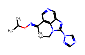 CCn1c(-n2cncn2)nc2cncc(/C(C)=N/OC(C)C)c21